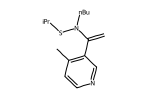 C=C(c1cnccc1C)N(CCCC)SC(C)C